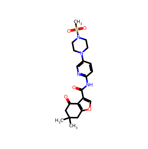 CC1(C)CC(=O)c2c(C(=O)Nc3ccc(N4CCN(S(C)(=O)=O)CC4)cn3)coc2C1